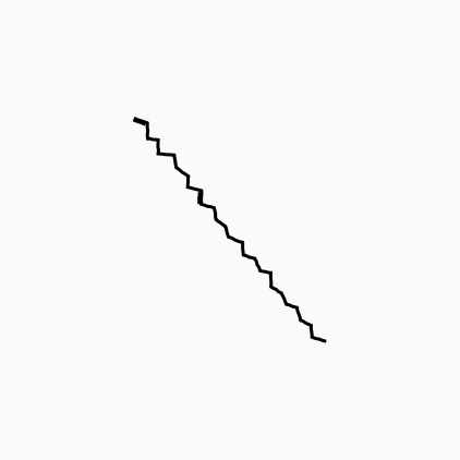 C=CCCCCCCCC=CCCCCCCCCCCCCCCCCC